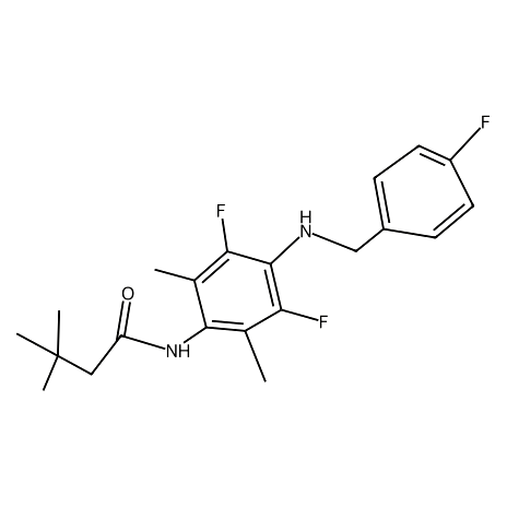 Cc1c(F)c(NCc2ccc(F)cc2)c(F)c(C)c1NC(=O)CC(C)(C)C